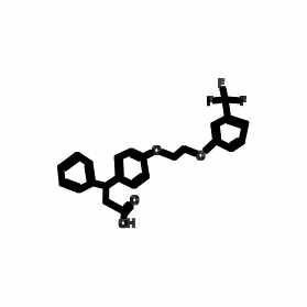 O=C(O)CC(c1ccccc1)c1ccc(OCCOc2cccc(C(F)(F)F)c2)cc1